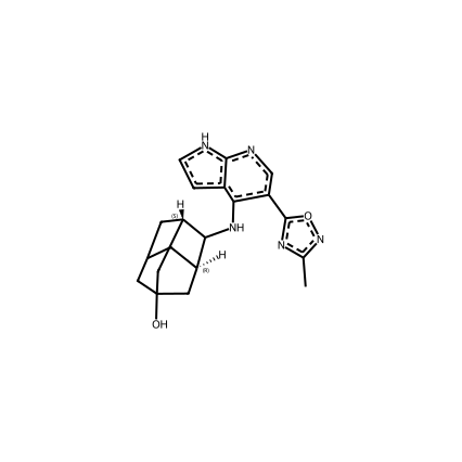 Cc1noc(-c2cnc3[nH]ccc3c2NC2[C@@H]3CC4C[C@H]2CC(O)(C4)C3)n1